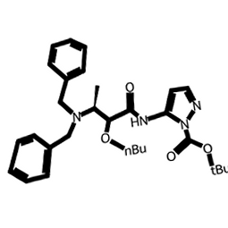 CCCCOC(C(=O)Nc1ccnn1C(=O)OC(C)(C)C)[C@H](C)N(Cc1ccccc1)Cc1ccccc1